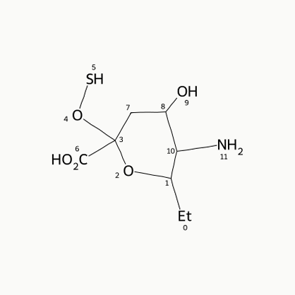 CCC1OC(OS)(C(=O)O)CC(O)C1N